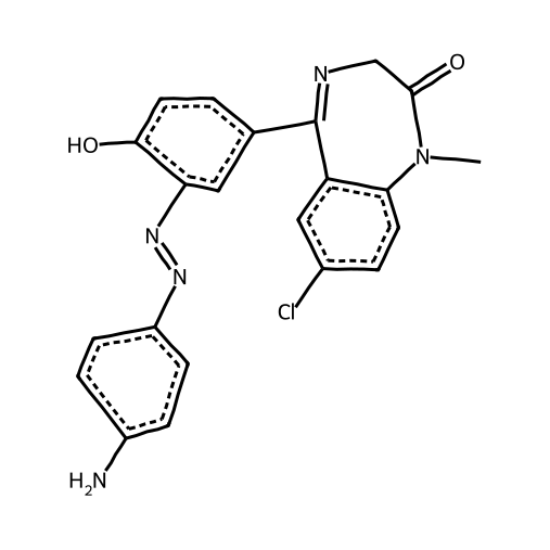 CN1C(=O)CN=C(c2ccc(O)c(N=Nc3ccc(N)cc3)c2)c2cc(Cl)ccc21